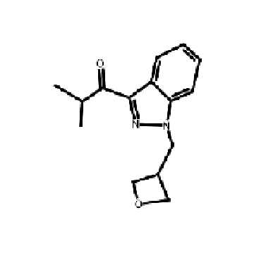 CC(C)C(=O)c1nn(CC2COC2)c2ccccc12